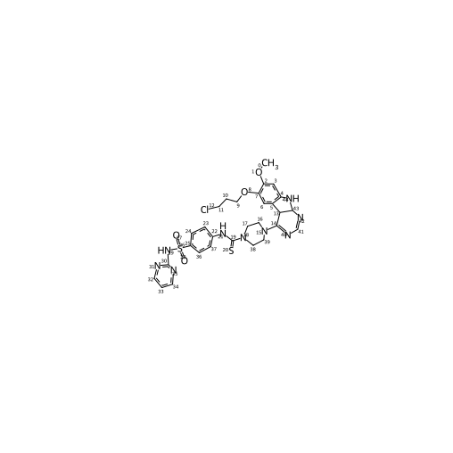 COc1cc2c(cc1OCCCCl)C1C(N3CCN(C(=S)Nc4ccc(S(=O)(=O)Nc5ncccn5)cc4)CC3)=NC=NC1N2